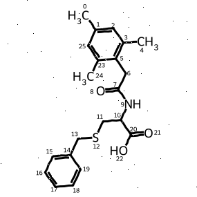 Cc1cc(C)c(CC(=O)NC(CSCc2ccccc2)C(=O)O)c(C)c1